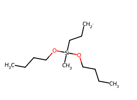 [CH2]CC[Si](C)(OCCCC)OCCCC